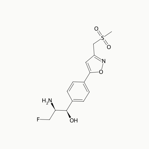 CS(=O)(=O)Cc1cc(-c2ccc([C@@H](O)[C@H](N)CF)cc2)on1